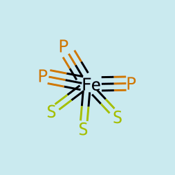 [P]#[Fe](#[P])(#[P])(=[S])(=[S])=[S]